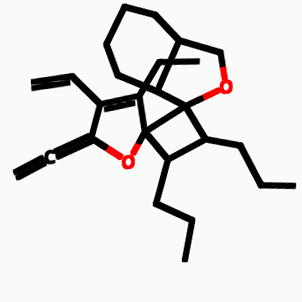 C=C=C1OC2(C(CC)=C1C=C)C(CCC)C(CCC)C21OCC2CCCCC21